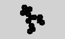 c1ccc(C2(c3ccc(N(c4ccc(-c5cccc6c5sc5ccccc56)cc4)c4cccc(-c5ccc6oc7ccccc7c6c5)c4)cc3)c3ccccc3-c3ccccc32)cc1